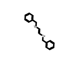 C(=C[Te]Cc1ccccc1)[Te]Cc1ccccc1